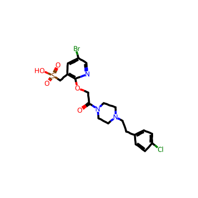 O=C(COc1ncc(Br)cc1CS(=O)(=O)O)N1CCN(CCc2ccc(Cl)cc2)CC1